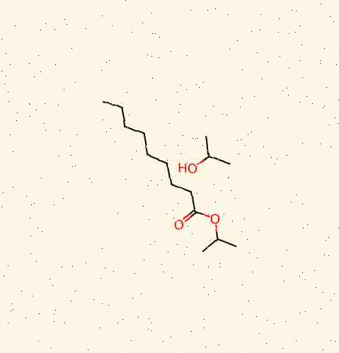 CC(C)O.CCCCCCCCC(=O)OC(C)C